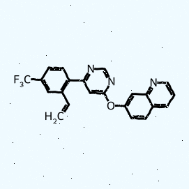 C=Cc1cc(C(F)(F)F)ccc1-c1cc(Oc2ccc3cccnc3c2)ncn1